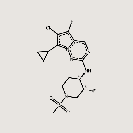 CS(=O)(=O)N1CC[C@@H](Nc2ncc3c(F)c(Cl)c(C4CC4)n3n2)[C@H](F)C1